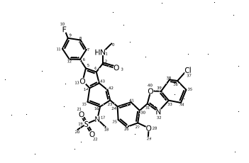 CNC(=O)c1c(-c2ccc(F)cc2)oc2cc(N(C)S(C)(=O)=O)c(-c3ccc(OC)c(-c4nc5ccc(Cl)cc5o4)c3)cc12